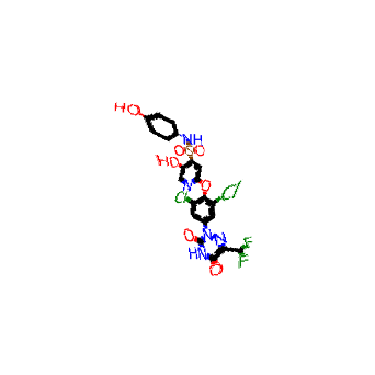 O=c1[nH]c(=O)n(-c2cc(Cl)c(Oc3cc(S(=O)(=O)N[C@H]4CC[C@H](O)CC4)c(O)cn3)c(Cl)c2)nc1C(F)F